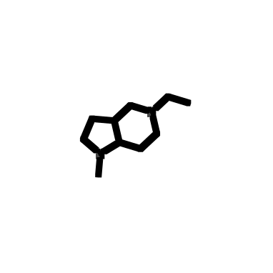 CCN1CCC2C(CCN2C)C1